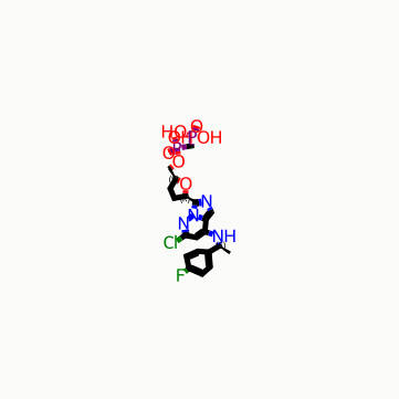 C[C@H](Nc1cc(Cl)nn2c([C@H]3CC[C@@H](COP(=O)(O)CP(=O)(O)O)O3)ncc12)c1ccc(F)cc1